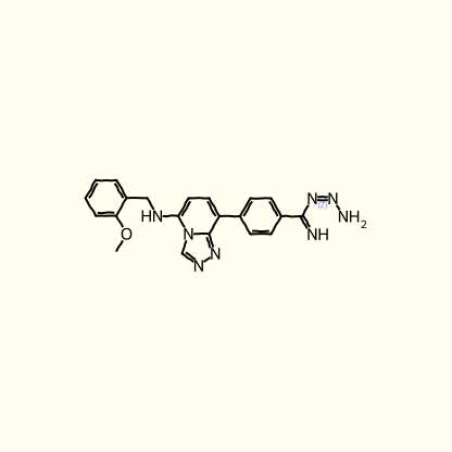 COc1ccccc1CNc1ccc(-c2ccc(C(=N)/N=N\N)cc2)c2nncn12